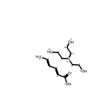 C/C=C/C=C/C(=O)O.OCCN(CCO)CCO